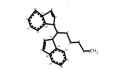 CCCCCC(C1C=Cc2ccccc21)C1C=Cc2ccccc21